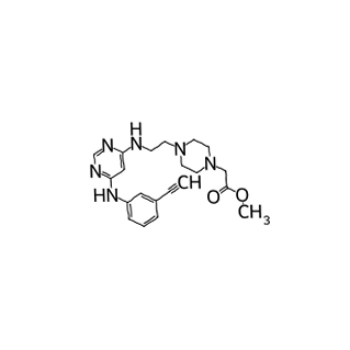 C#Cc1cccc(Nc2cc(NCCN3CCN(CC(=O)OC)CC3)ncn2)c1